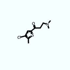 Cc1sc(C(=O)CCN(C)C)cc1Cl